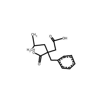 CC(C)CC(CC(=O)O)(Cc1ccccc1)C(=O)O